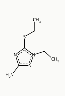 CCSc1nc(N)nn1CC